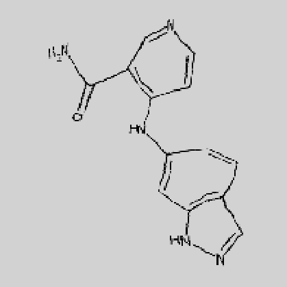 NC(=O)c1cnccc1Nc1ccc2cn[nH]c2c1